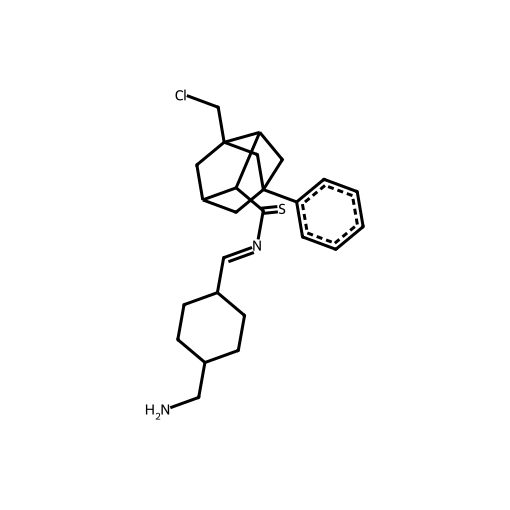 NCC1CCC(/C=N/C(=S)C2C3CC4(c5ccccc5)CC2C(CCl)(C3)C4)CC1